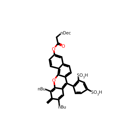 C=c1c(CCCC)cc2c(c1CCCC)Oc1c(ccc3cc(OC(=O)CCCCCCCCCCC)ccc13)C=2c1ccc(S(=O)(=O)O)cc1S(=O)(=O)O